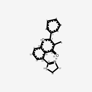 Cc1c(-c2ccccc2)oc2cccc(C3=NCCS3)c2c1=O